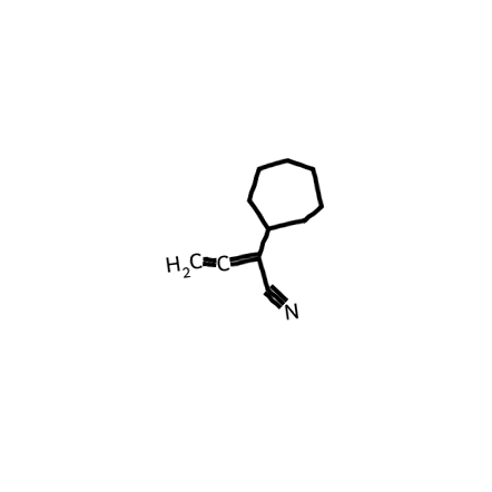 C=C=C(C#N)C1CCCCCC1